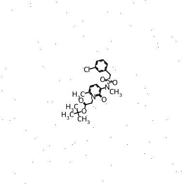 Cc1ccc(N(C)S(=O)(=O)Cc2cccc(Cl)c2)c(=O)n1CC(=O)OC(C)(C)C